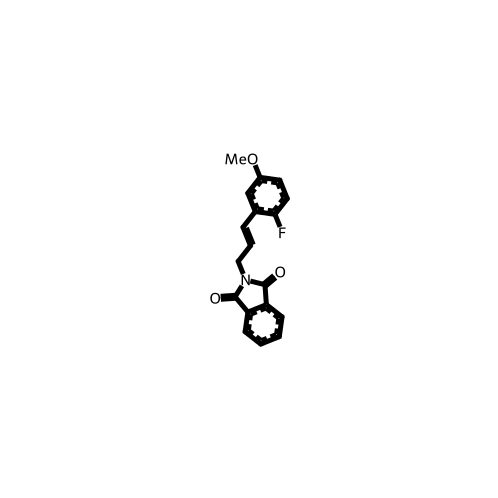 COc1ccc(F)c(C=CCN2C(=O)c3ccccc3C2=O)c1